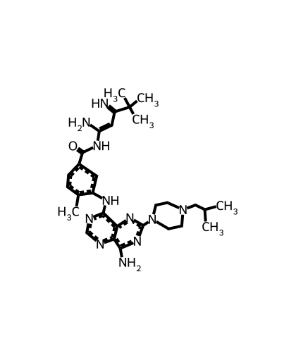 Cc1ccc(C(=O)N/C(N)=C/C(=N)C(C)(C)C)cc1Nc1ncnc2c(N)nc(N3CCN(CC(C)C)CC3)nc12